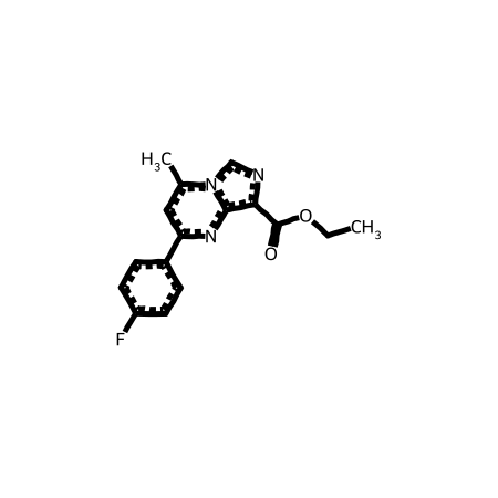 CCOC(=O)c1ncn2c(C)cc(-c3ccc(F)cc3)nc12